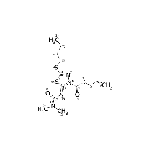 C=CCOC(=O)n1nc(SCCCC)sc1=NC(=O)N(C)C